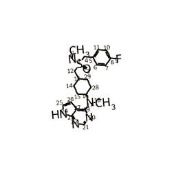 CN=S(=O)(Cc1ccc(F)cc1)CC1CCC(N(C)c2ncnc3[nH]ccc23)CC1